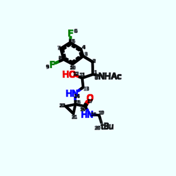 CC(=O)NC(Cc1cc(F)cc(F)c1)C(O)CNC1(C(=O)NCC(C)(C)C)CC1